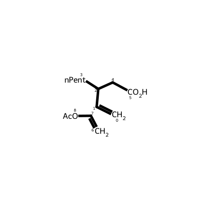 C=CC(CCCCC)CC(=O)O.C=COC(C)=O